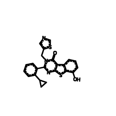 O=c1c2c(nc(-c3ccccc3C3CC3)n1Cc1cncs1)sc1c(O)cccc12